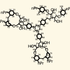 CCCc1ccc(OCC(CO)N(CCc2ccc(N3CN(c4ccc(CCN5C(CO)COc6ccc(CCC)c(c6)Cc6cc(ccc6CCC)OCC5CO)cc4)CN(c4ccc(CCN5C(CO)COc6ccc(CCC)c(c6)Cc6cc(ccc6CCC)OCC5CO)cc4)C3)cc2)C(CO)COc2ccc(CCC)c(C)c2)cc1C